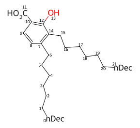 CCCCCCCCCCCCCCCCc1ccc(C(=O)O)c(O)c1CCCCCCCCCCCCCCCC